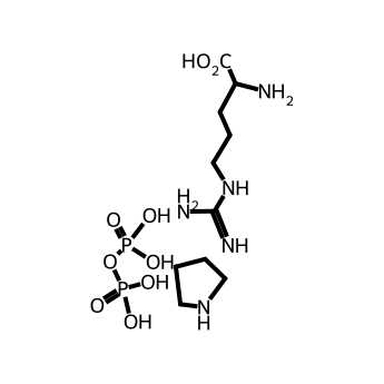 C1CCNC1.N=C(N)NCCCC(N)C(=O)O.O=P(O)(O)OP(=O)(O)O